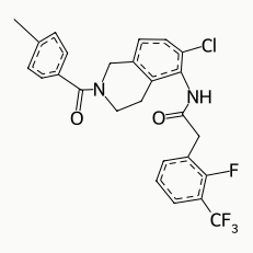 Cc1ccc(C(=O)N2CCc3c(ccc(Cl)c3NC(=O)Cc3cccc(C(F)(F)F)c3F)C2)cc1